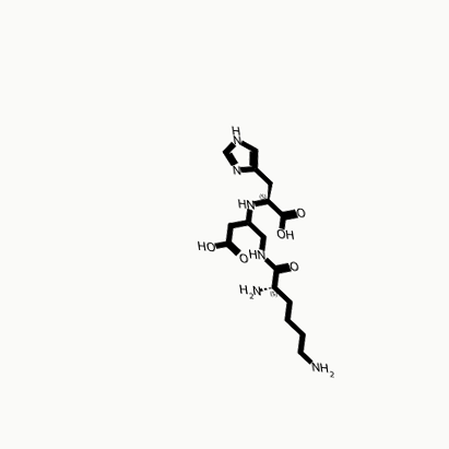 NCCCC[C@H](N)C(=O)NCC(CC(=O)O)N[C@@H](Cc1c[nH]cn1)C(=O)O